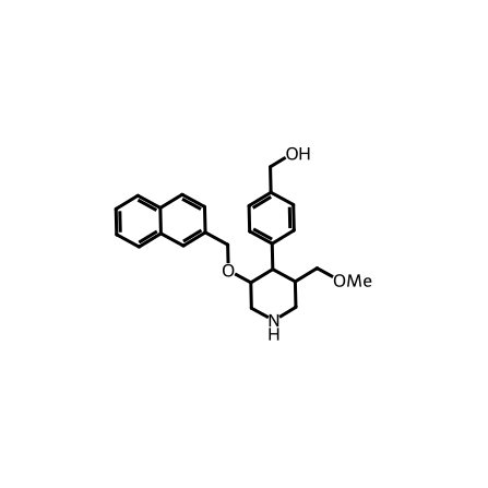 COCC1CNCC(OCc2ccc3ccccc3c2)C1c1ccc(CO)cc1